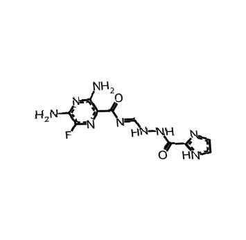 Nc1nc(N)c(C(=O)N=CNNC(=O)c2ncc[nH]2)nc1F